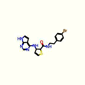 O=C(NCCc1ccc(Br)cc1)C1SC=CC1Nc1ncnc2[nH]ccc12